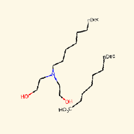 CCCCCCCCCCCCCCCC(=O)O.CCCCCCCCCCCCCCCCN(CCO)CCO